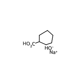 O=C(O)C1CCCCC1.[Na+].[OH-]